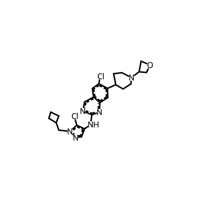 Clc1cc2cnc(Nc3cnn(CC4CCC4)c3Cl)nc2cc1C1CCN(C2COC2)CC1